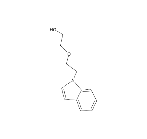 OCCOCCn1ccc2ccccc21